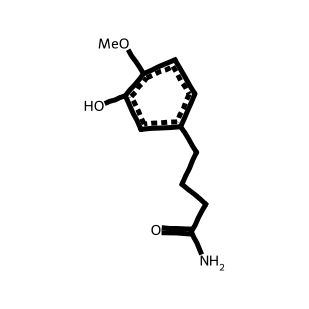 COc1ccc(CCCC(N)=O)cc1O